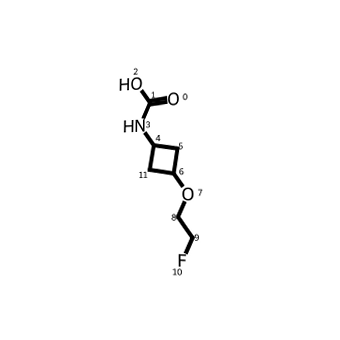 O=C(O)NC1CC(OCCF)C1